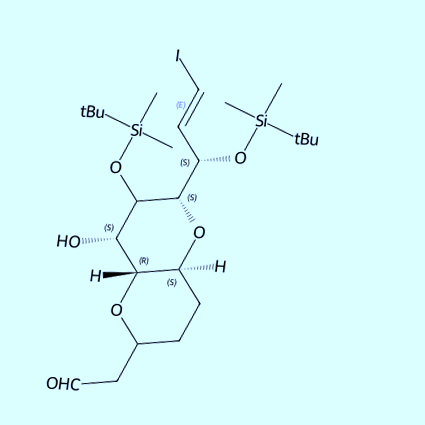 CC(C)(C)[Si](C)(C)OC1[C@@H](O)[C@H]2OC(CC=O)CC[C@@H]2O[C@H]1[C@H](/C=C/I)O[Si](C)(C)C(C)(C)C